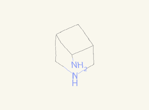 NC1C2CNCC1C2